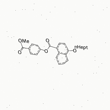 CCCCCCCOc1ccc(C(=O)Oc2ccc(C(=O)OC)cc2)c2ccccc12